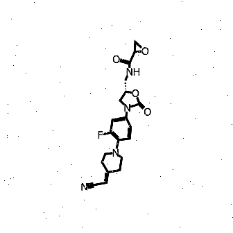 N#CC=C1CCN(c2ccc(N3C[C@H](CNC(=O)C4CO4)OC3=O)cc2F)CC1